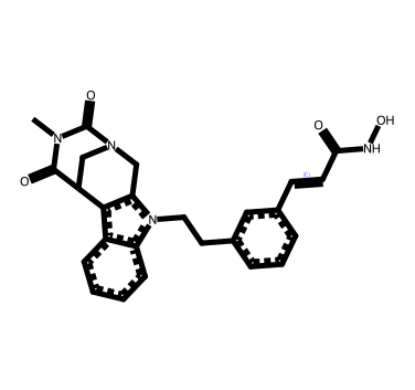 CN1C(=O)C2CN(Cc3c2c2ccccc2n3CCc2cccc(/C=C/C(=O)NO)c2)C1=O